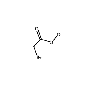 CC(C)CC(=O)O[O]